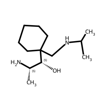 CC(C)NCC1([C@H](O)[C@H](C)N)CCCCC1